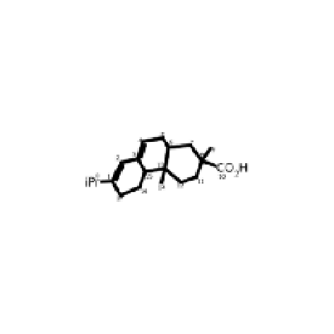 CC(C)C1=CC2=CCC3CC(C)(C(=O)O)CCC3(C)C2CC1